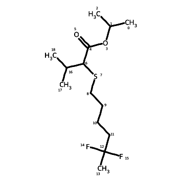 CC(C)OC(=O)C(SCCCCC(C)(F)F)C(C)C